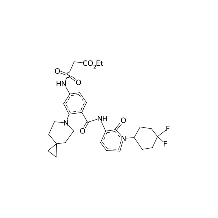 CCOC(=O)CS(=O)(=O)Nc1ccc(C(=O)Nc2cccn(C3CCC(F)(F)CC3)c2=O)c(N2CCC3(CC2)CC3)c1